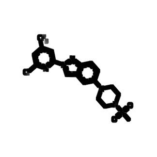 CS(=O)(=O)N1CCN(c2ccc3nn(-c4cc(C(F)(F)F)cc(Cl)n4)cc3c2)CC1